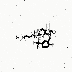 NCCCNc1ncc2[nH]c(=O)n(Cc3cc(C(F)(F)F)ccc3F)c2n1